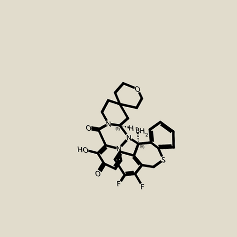 B[C@]1(N2[C@@H]3CC4(CCOCC4)CCN3C(=O)c3c(O)c(=O)ccn32)c2ccccc2SCc2c1ccc(F)c2F